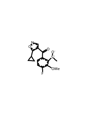 COc1c(F)ccc(C(=O)c2cnoc2C2CC2)c1[S+](C)[O-]